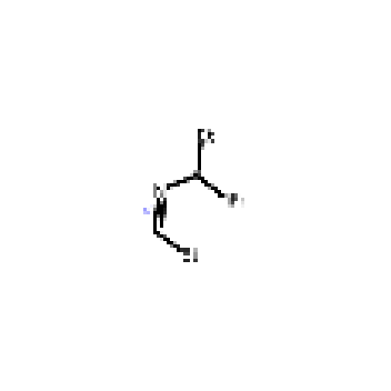 CC/C=N\C(CC)C(C)C